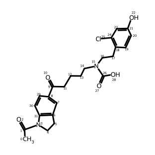 CC(=O)N1CCc2cc(C(=O)CCCCN(CCc3ccc(O)cc3Cl)C(=O)O)ccc21